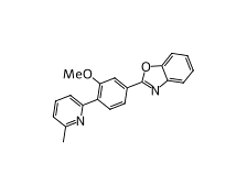 COc1cc(-c2nc3ccccc3o2)ccc1-c1cccc(C)n1